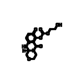 O=C(OCCO)Oc1c2n(ccc1=O)N[C@@H]1COCCN1C2=O